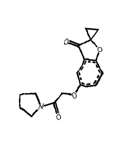 O=C(COc1ccc2c(c1)C(=O)C1(CC1)O2)N1CCCC1